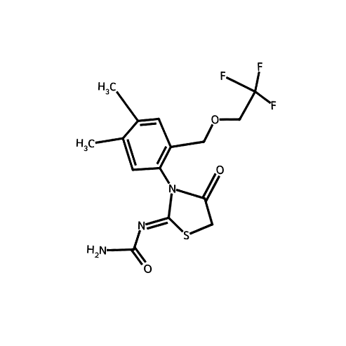 Cc1cc(COCC(F)(F)F)c(N2C(=O)CSC2=NC(N)=O)cc1C